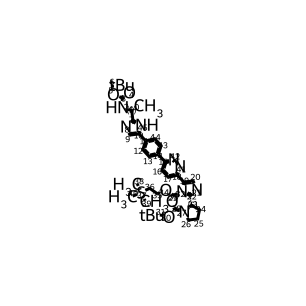 C[C@H](NC(=O)OC(C)(C)C)c1ncc(-c2ccc(-c3ccc(-c4cnc([C@@H]5CCCN5C(=O)OC(C)(C)C)n4COCCS(C)(C)C)nn3)cc2)[nH]1